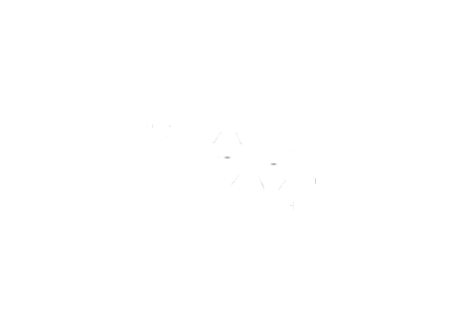 C=Cc1cc(OCC(=O)OCC)cc(Cl)c1Cc1ccc(O)c(C(C)C)c1F